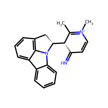 CC1=[N+](C)C=CC(=N)[C@@H]1[C@H]1Cc2cccc3c4ccccc4n1c23